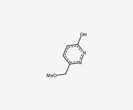 COCc1ccc(O)nn1